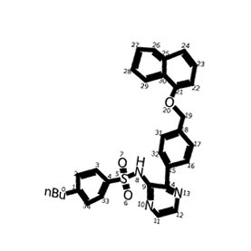 CCCCc1ccc(S(=O)(=O)Nc2nccnc2-c2ccc(COc3cccc4ccccc34)cc2)cc1